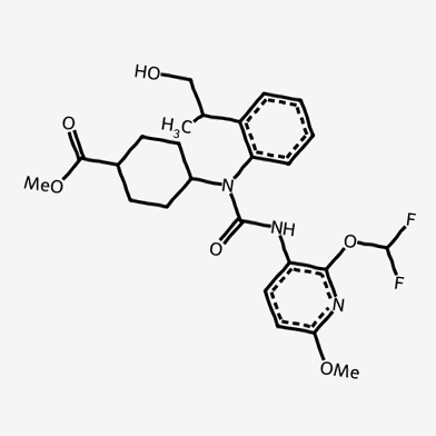 COC(=O)C1CCC(N(C(=O)Nc2ccc(OC)nc2OC(F)F)c2ccccc2C(C)CO)CC1